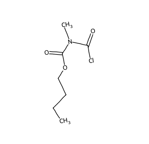 CCCCOC(=O)N(C)C(=O)Cl